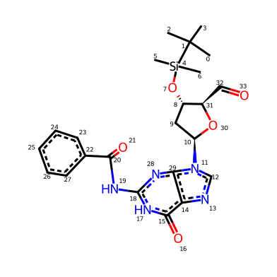 CC(C)(C)[Si](C)(C)O[C@H]1C[C@H](n2cnc3c(=O)[nH]c(NC(=O)c4ccccc4)nc32)O[C@@H]1C=O